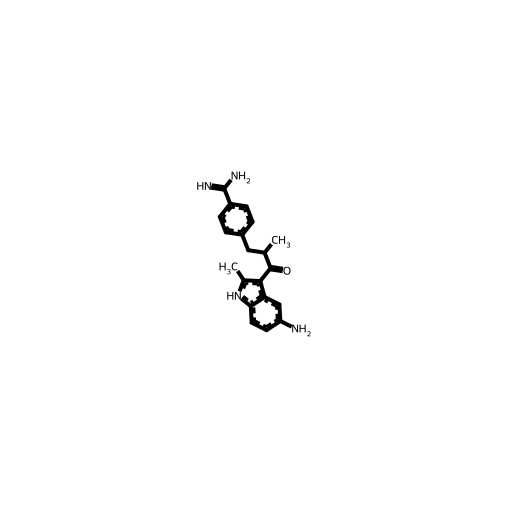 Cc1[nH]c2ccc(N)cc2c1C(=O)C(C)Cc1ccc(C(=N)N)cc1